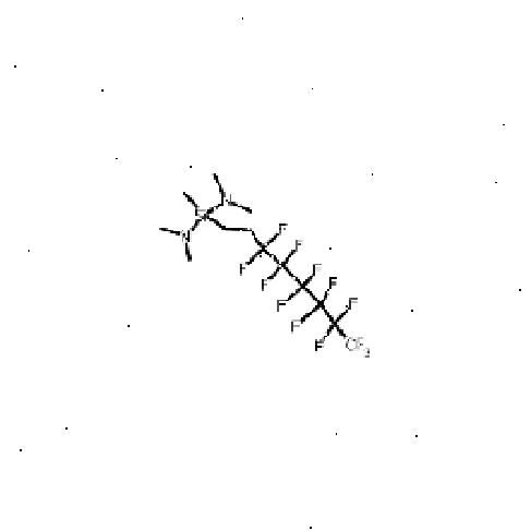 CN(C)[Si](C)(CCC(F)(F)C(F)(F)C(F)(F)C(F)(F)C(F)(F)C(F)(F)F)N(C)C